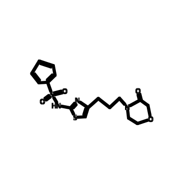 O=C1COCCN1CCCc1csc(NS(=O)(=O)c2ccccc2)n1